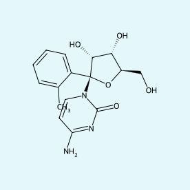 Cc1ccccc1[C@@]1(n2ccc(N)nc2=O)O[C@H](CO)[C@@H](O)[C@H]1O